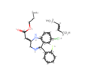 CC(=O)NCCOC(=O)C=C1CN=C(c2ccccc2F)c2cc(Cl)ccc2N1.O=C(O)C=CC(=O)O